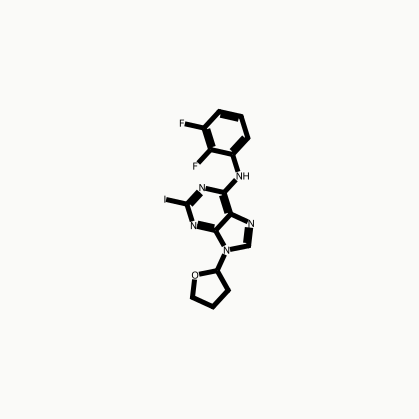 Fc1cccc(Nc2nc(I)nc3c2ncn3C2CCCO2)c1F